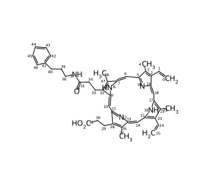 C=CC1=C(C)c2cc3[nH]c(cc4nc(cc5[nH]c(cc1n2)c(C)c5C=C)C(C)=C4CCC(=O)O)c(CCC(=O)NCCCc1ccccc1)c3C